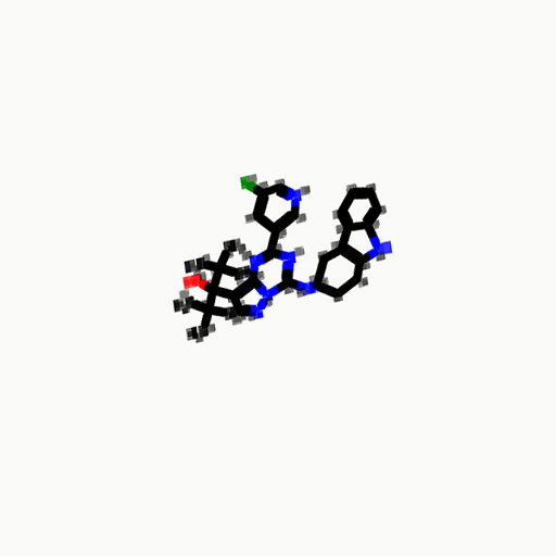 BC(B)(B)C(O)(c1cnn2c(N[C@@H]3CCc4[nH]c5ccccc5c4C3)nc(-c3cncc(F)c3)nc12)C(B)(B)B